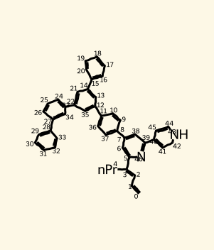 C=C/C=C(\CCC)c1cc(-c2ccc(-c3cc(-c4ccccc4)cc(-c4cccc(-c5ccccc5)c4)c3)cc2)cc(C2=CCNC=C2)n1